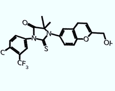 CC1(C)C(=O)N(c2ccc(C#N)c(C(F)(F)F)c2)C(=S)N1c1ccc2c(c1)CC=C(CO)O2